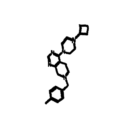 Cc1ccc(CN2CCc3c(ncnc3N3CCN(C4CCC4)CC3)C2)cc1